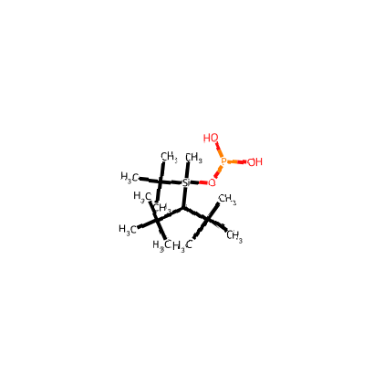 CC(C)(C)C(C(C)(C)C)[Si](C)(OP(O)O)C(C)(C)C